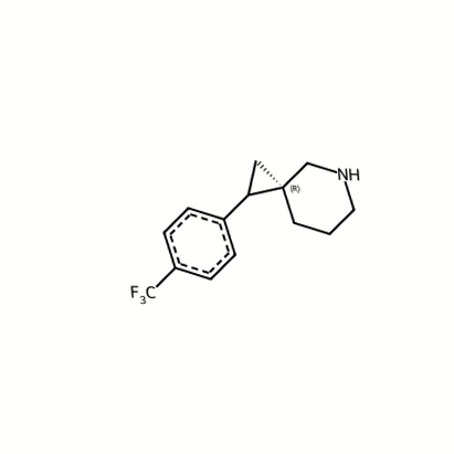 FC(F)(F)c1ccc(C2C[C@]23CCCNC3)cc1